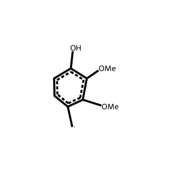 [CH2]c1ccc(O)c(OC)c1OC